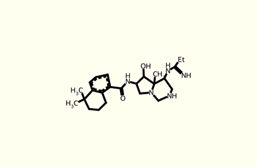 CCC(=N)NC1CNCN2CC(NC(=O)c3cccc4c3CCCC4(C)C)C(O)C12C